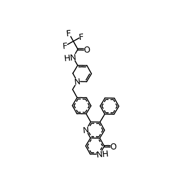 O=C(NC1=CC=CN(Cc2ccc(-c3nc4cc[nH]c(=O)c4cc3-c3ccccc3)cc2)C1)C(F)(F)F